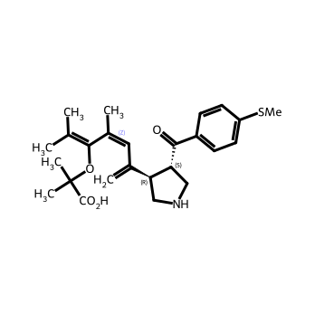 C=C(/C=C(/C)C(OC(C)(C)C(=O)O)=C(C)C)[C@@H]1CNC[C@H]1C(=O)c1ccc(SC)cc1